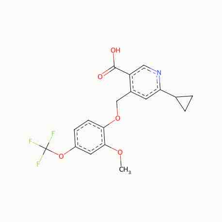 COc1cc(OC(F)(F)F)ccc1OCc1cc(C2CC2)ncc1C(=O)O